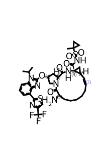 CC(C)n1c(O[C@@H]2C[C@H]3C(=O)N[C@]4(C(=O)NS(=O)(=O)C5(C)CC5)C[C@H]4/C=C\CCCCC[C@H](N)C(=O)N3C2)nc2c(-c3nc(C(F)(F)F)cs3)cccc21